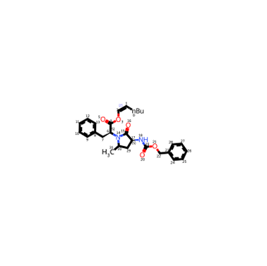 CCCC/C=C\OC(=O)[C@H](Cc1ccccc1)N1C(=O)[C@@H](NC(=O)OCc2ccccc2)CC1C